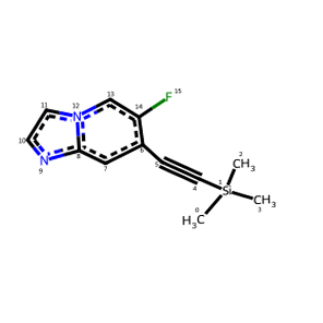 C[Si](C)(C)C#Cc1cc2nccn2cc1F